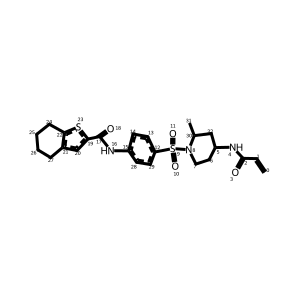 C=CC(=O)NC1CCN(S(=O)(=O)c2ccc(NC(=O)c3cc4c(s3)CCCC4)cc2)C(C)C1